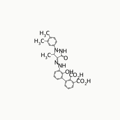 Cc1ccc(N2NC(=O)/C(=N\Nc3cccc(-c4cccc(C(=O)O)c4C(=O)O)c3O)C2C)cc1C